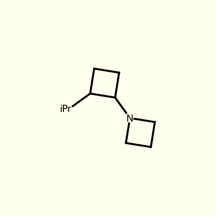 CC(C)C1CCC1N1CCC1